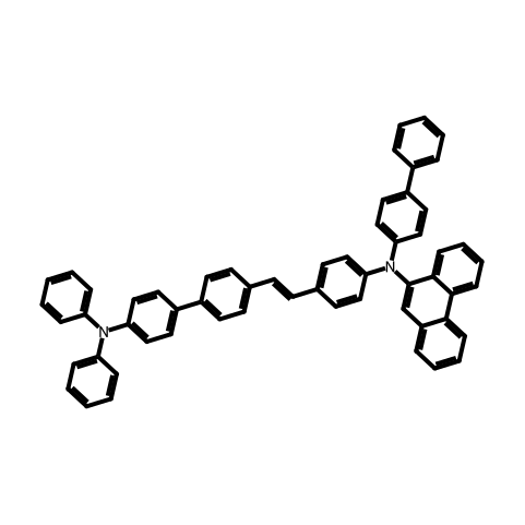 C(=C\c1ccc(N(c2ccc(-c3ccccc3)cc2)c2cc3ccccc3c3ccccc23)cc1)/c1ccc(-c2ccc(N(c3ccccc3)c3ccccc3)cc2)cc1